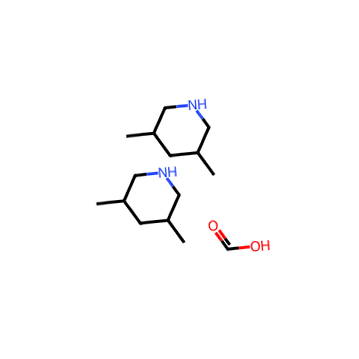 CC1CNCC(C)C1.CC1CNCC(C)C1.O=CO